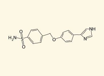 NS(=O)(=O)c1ccc(COc2ccc(-c3c[nH]cn3)cc2)cc1